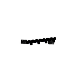 CC(C)=C[C@@H](O)C/C(C)=C/CC/C(C)=C/CC/C(C)=C/CO